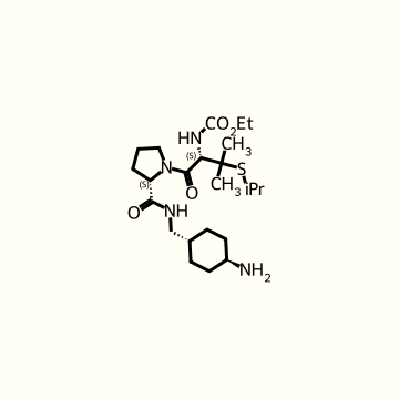 CCOC(=O)N[C@@H](C(=O)N1CCC[C@H]1C(=O)NC[C@H]1CC[C@H](N)CC1)C(C)(C)SC(C)C